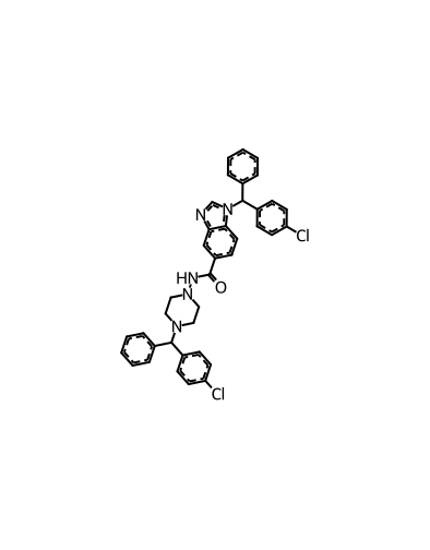 O=C(NN1CCN(C(c2ccccc2)c2ccc(Cl)cc2)CC1)c1ccc2c(c1)ncn2C(c1ccccc1)c1ccc(Cl)cc1